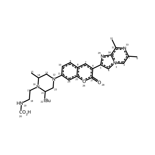 Cc1cn2cc(-c3cc4ccc(N5CC(C)N(CCNC(=O)O)C(C(C)(C)C)C5)cc4oc3=O)nc2c(C)n1